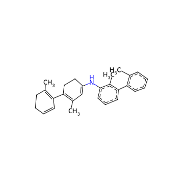 CC1=C(C2=C(C)CCC=C2)CCC(Nc2cccc(-c3ccccc3C)c2C)=C1